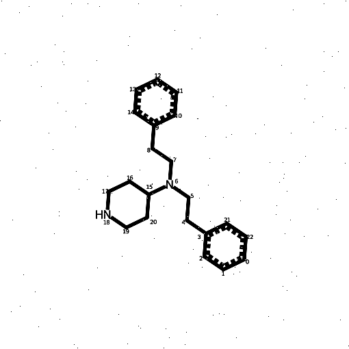 c1ccc(CCN(CCc2ccccc2)C2CCNCC2)cc1